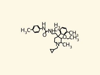 CCOC1C(C)N(CC2CC2)CCC1(CCNC(=O)Nc1ccc(C)cc1)c1cc(C)ccc1C